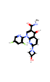 CC[C@@H](C)NC(=O)c1cn(-c2ncc(F)cc2F)c2nc(N3CC(O)C3)ccc2c1=O